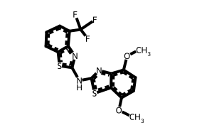 COc1ccc(OC)c2sc(Nc3nc4c(C(F)(F)F)cccc4s3)nc12